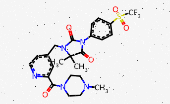 CN1CCN(C(=O)c2cc(CN3C(=O)N(c4ccc(S(=O)(=O)C(F)(F)F)cc4)C(=O)C3(C)C)ccn2)CC1